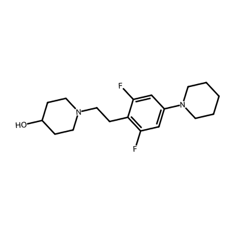 OC1CCN(CCc2c(F)cc(N3CCCCC3)cc2F)CC1